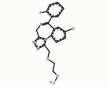 COCCOCc1nnc2n1-c1ccc(Cl)cc1C(c1ccccc1F)=NC2